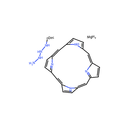 C1=Cc2cc3ccc(cc4nc(cc5ccc(cc1n2)[nH]5)C=C4)[nH]3.CCCCCCCCCCNNNN.[MgH2]